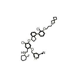 N#Cc1cncc(COc2cc(O[C@H]3CCc4c(-c5cccc(OCCCN6CC7(CCC7)C6)c5Cl)cccc43)c(Cl)cc2CN[C@@H]2CCCC[C@@H]2F)c1